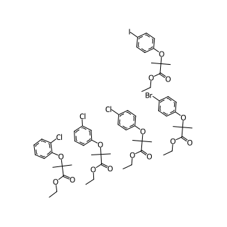 CCOC(=O)C(C)(C)Oc1ccc(Br)cc1.CCOC(=O)C(C)(C)Oc1ccc(Cl)cc1.CCOC(=O)C(C)(C)Oc1ccc(I)cc1.CCOC(=O)C(C)(C)Oc1cccc(Cl)c1.CCOC(=O)C(C)(C)Oc1ccccc1Cl